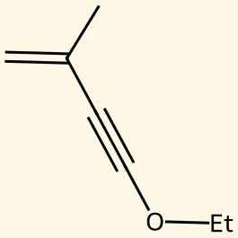 C=C(C)C#COCC